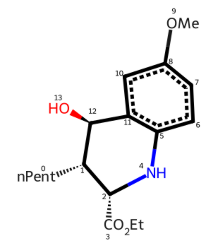 CCCCC[C@H]1[C@@H](C(=O)OCC)Nc2ccc(OC)cc2[C@@H]1O